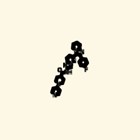 O=C(Nc1cn2nc(-c3c(-c4ccc(F)cc4)nc4ccccn34)ccc2n1)C1CCN(c2ccncc2)CC1